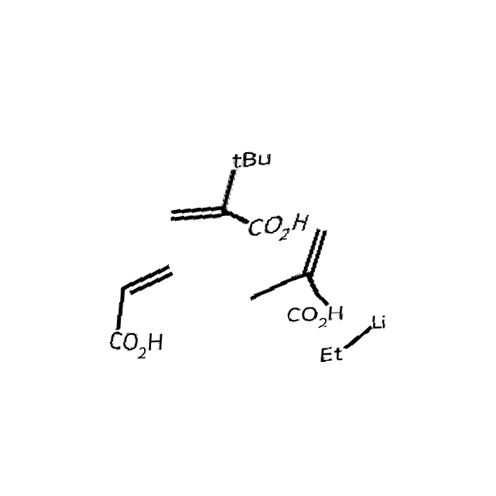 C=C(C(=O)O)C(C)(C)C.C=C(C)C(=O)O.C=CC(=O)O.[Li][CH2]C